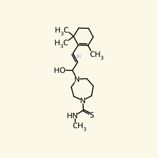 CNC(=S)N1CCCN(C(O)/C=C/C2=C(C)CCCC2(C)C)CC1